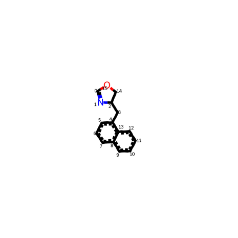 C1=NC(Cc2cccc3ccccc23)CO1